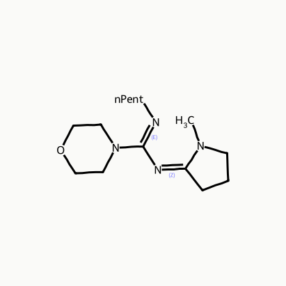 CCCCC/N=C(/N=C1/CCCN1C)N1CCOCC1